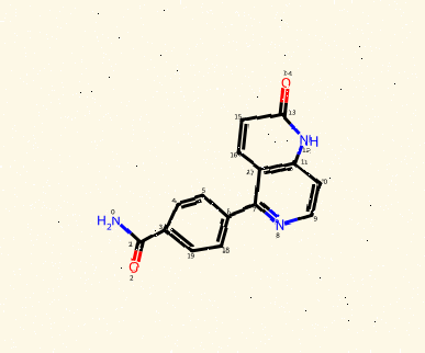 NC(=O)c1ccc(-c2nccc3[nH]c(=O)ccc23)cc1